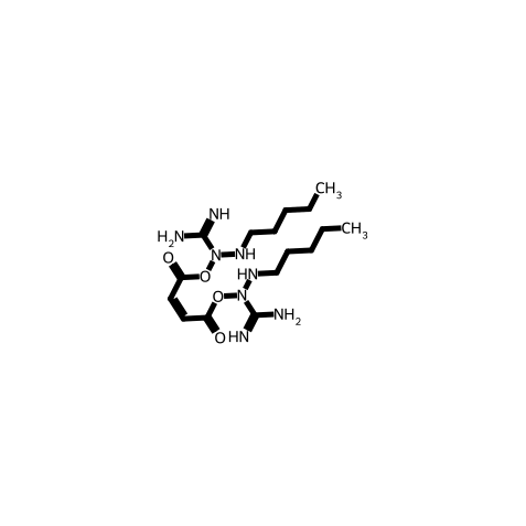 CCCCCNN(OC(=O)/C=C\C(=O)ON(NCCCCC)C(=N)N)C(=N)N